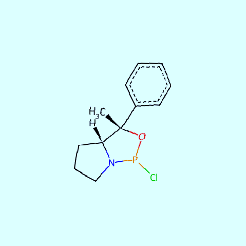 C[C@@]1(c2ccccc2)OP(Cl)N2CCC[C@@H]21